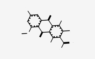 COc1cc(O)cc2c1C(=O)c1c(O)c(C(=O)O)c(C)c(O)c1C2=O